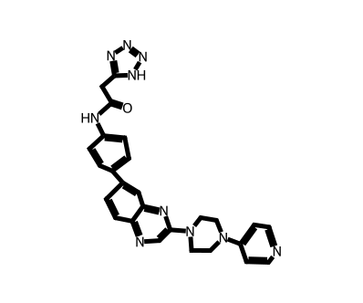 O=C(Cc1nnn[nH]1)Nc1ccc(-c2ccc3ncc(N4CCN(c5ccncc5)CC4)nc3c2)cc1